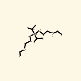 CCOCCO[Si](OCCOCC)(C(C)C)C(C)C